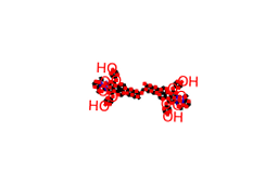 Cc1cc2cc3c(cc2cc1CCc1cc2cc4c(cc2cc1C)-c1ccc2c5c(Oc6ccc(O)cc6)cc6c7c(cc(Oc8ccc(O)cc8)c(c8ccc-4c1c28)c75)C(=O)N(c1c(C(C)C)cccc1C(C)C)C6=O)C1=CC=C2c4c(Oc5ccc(O)cc5)cc5c6c(cc(Oc7ccc(O)cc7)c(c46)C4=CC=C3C1C42)C(=O)N(c1c(C(C)C)cccc1C(C)C)C5=O